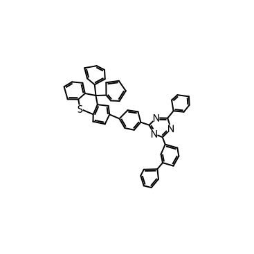 c1ccc(-c2cccc(-c3nc(-c4ccccc4)nc(-c4ccc(-c5ccc6c(c5)C(c5ccccc5)(c5ccccc5)c5ccccc5S6)cc4)n3)c2)cc1